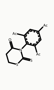 CC(=O)c1cc(C(C)=O)c(N2C(=O)CCSC2=S)c(C(C)=O)c1